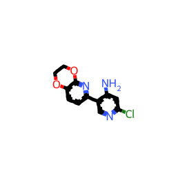 Nc1cc(Cl)ncc1-c1ccc2c(n1)OCCO2